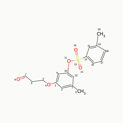 Cc1cc(OCCC=O)cc(OS(=O)(=O)c2cccc(C)c2)c1